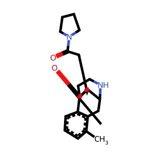 Cc1cccc2c1CC1NCCC23CC(=O)C(CC(=O)N2CCCC2)CC13